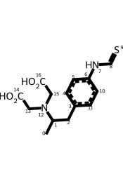 CC(Cc1ccc(NC=S)cc1)N(CC(=O)O)CC(=O)O